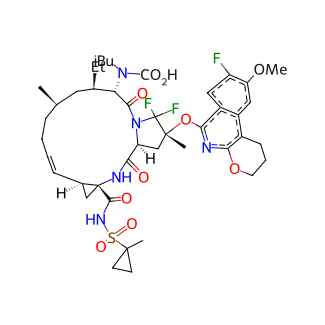 CCC(C)N(C(=O)O)[C@@H]1C(=O)N2[C@@H](C[C@@](C)(Oc3nc4c(c5cc(OC)c(F)cc35)CCCO4)C2(F)F)C(=O)N[C@]2(C(=O)NS(=O)(=O)C3(C)CC3)C[C@H]2/C=C\CC[C@@H](C)C[C@H]1CC